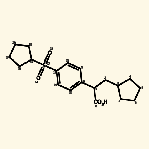 O=C(O)C(CC1CCCC1)c1ccc(S(=O)(=O)C2CCCC2)cc1